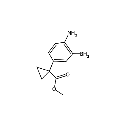 Bc1cc(C2(C(=O)OC)CC2)ccc1N